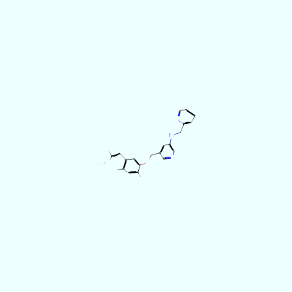 CS/C(=C\c1cc(OCc2cncc(NCc3ccccn3)c2)c(O)cc1Br)C(C)=O